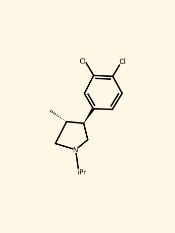 CC(C)N1C[C@H](c2ccc(Cl)c(Cl)c2)[C@@H](C)C1